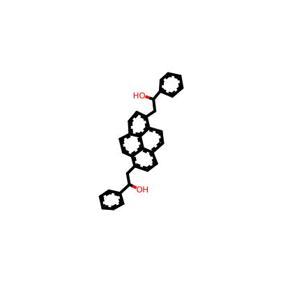 OC(Cc1ccc2ccc3c(CC(O)c4ccccc4)ccc4ccc1c2c43)c1ccccc1